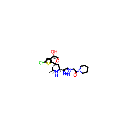 C[C@H]1C[C@@]2(C[C@@H](c3cn(CC(=O)N4CCCCC4)nn3)N1)OC[C@@H](O)c1cc(Cl)sc12